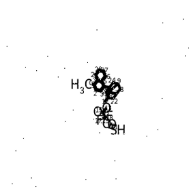 Cc1ccc(C23CC4CC(CC(COC(=O)C(F)(F)OOS)(C4)C2)C3)c2ccccc12